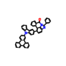 O=c1c2ccccc2c2c(-c3ccc4c(c3)c3ccccc3n4-c3ccc4c5ccccc5c5ccccc5c4c3)ccc3nc(-c4ccccc4)n1c32